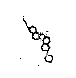 CCCCc1ccc2c(ccc3n4c(ccc5cc(N6CCCCC6)ccc54)c[n+]23)c1.[Cl-]